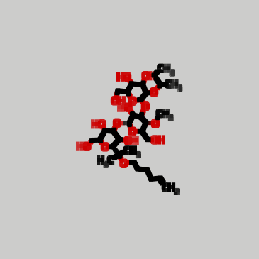 C=CCCCCOC(C)(C)[C@H]1OC(CO)[C@@H](O)C(O[C@H]2OC(CO)[C@@H](OC)C(O[C@H]3OC(CO)[C@@H](O)C(O)C3OC(C)CC)C2O)C1O